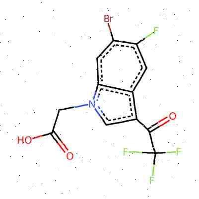 O=C(O)Cn1cc(C(=O)C(F)(F)F)c2cc(F)c(Br)cc21